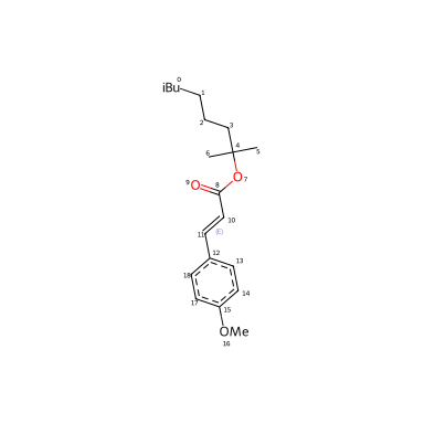 CCC(C)CCCC(C)(C)OC(=O)/C=C/c1ccc(OC)cc1